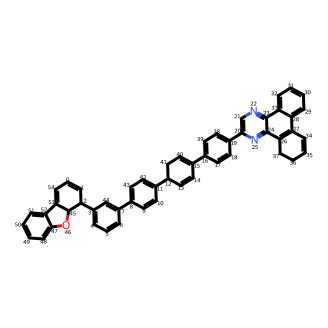 C1=CC(c2cccc(-c3ccc(C4C=CC(c5ccc(-c6cnc7c(n6)c6c(c8ccccc87)C=CCC6)cc5)=CC4)cc3)c2)C2Oc3ccccc3C2=C1